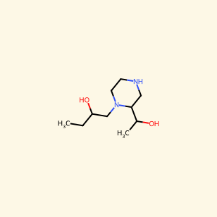 CCC(O)CN1CCNCC1C(C)O